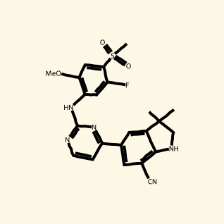 COc1cc(S(C)(=O)=O)c(F)cc1Nc1nccc(-c2cc(C#N)c3c(c2)C(C)(C)CN3)n1